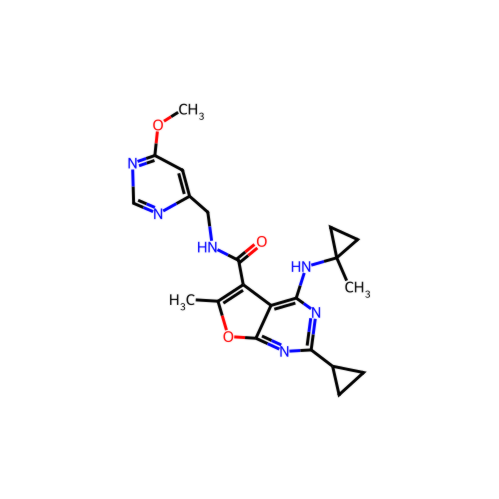 COc1cc(CNC(=O)c2c(C)oc3nc(C4CC4)nc(NC4(C)CC4)c23)ncn1